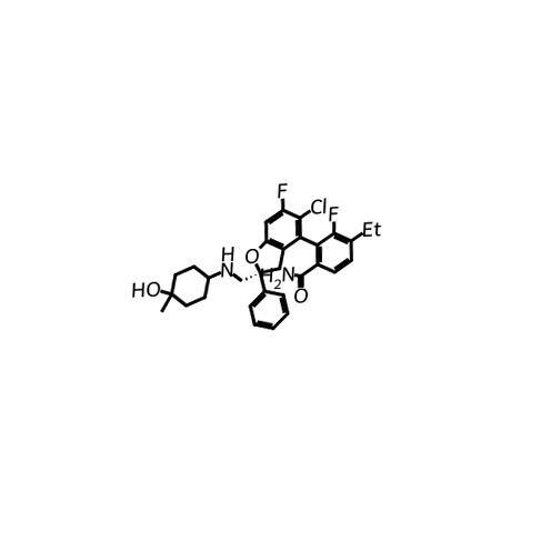 CCc1ccc(C(N)=O)c(-c2c(Cl)c(F)cc3c2C[C@@](CNC2CCC(C)(O)CC2)(c2ccccc2)O3)c1F